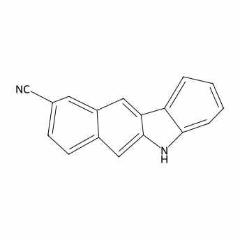 N#Cc1ccc2cc3[nH]c4ccccc4c3cc2c1